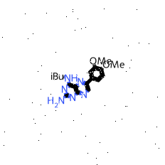 CCC(C)Nc1nc(N)nc2ncc(-c3ccc(OC)c(OC)c3)nc12